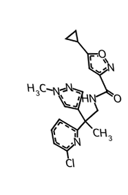 Cn1cc(C(C)(CNC(=O)c2cc(C3CC3)on2)c2cccc(Cl)n2)cn1